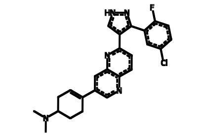 CN(C)C1CC=C(c2cnc3ccc(-c4c[nH]nc4-c4cc(Cl)ccc4F)nc3c2)CC1